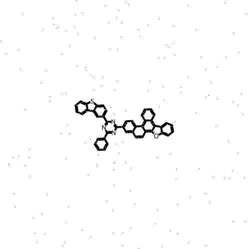 c1ccc(-c2nc(-c3ccc4c(ccc5c6oc7ccccc7c6c6ccccc6c45)c3)nc(-c3ccc4sc5ccccc5c4c3)n2)cc1